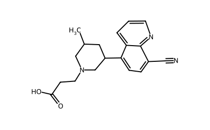 CC1CC(c2ccc(C#N)c3ncccc23)CN(CCC(=O)O)C1